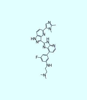 Cc1ncc(-c2ccc3[nH]nc(-c4nc5c(-c6cc(F)cc(NCCN(C)C)c6)ccnc5[nH]4)c3n2)n1C